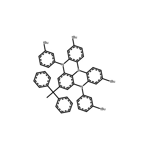 CC(C)(C)c1cccc(N2c3cc(C(C)(C)C)ccc3B3c4ccc(C(C)(C)C)cc4N(c4cccc(C(C)(C)C)c4)c4cc(C(C)(c5ccccc5)c5ccccc5)cc2c43)c1